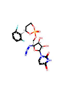 [N-]=[N+]=N[C@]1(COP2(=O)OCC[C@@H](c3c(F)cccc3F)O2)OC(n2ccc(=O)[nH]c2=O)[C@H](O)[C@@H]1O